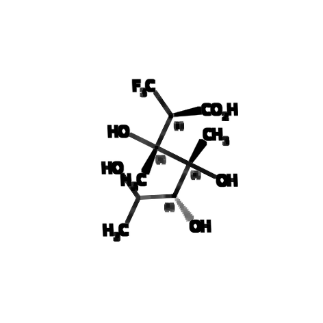 CC(O)[C@@H](O)[C@@](C)(O)[C@](C)(O)[C@H](C(=O)O)C(F)(F)F